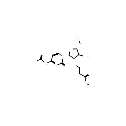 CNC(=O)CCO[C@H]1C(O)[C@@H](CO)O[C@H]1n1ccc(NC(C)=O)nc1=O